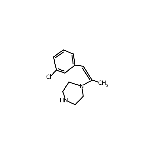 CC(=Cc1cccc(Cl)c1)N1CCNCC1